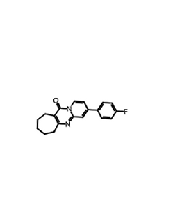 O=c1c2c(nc3cc(-c4ccc(F)cc4)ccn13)CCCCC2